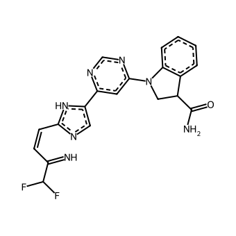 N=C(/C=C\c1ncc(-c2cc(N3CC(C(N)=O)c4ccccc43)ncn2)[nH]1)C(F)F